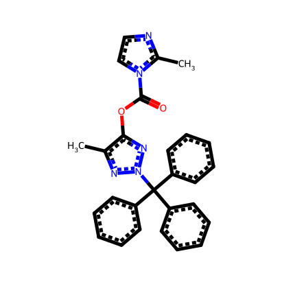 Cc1nn(C(c2ccccc2)(c2ccccc2)c2ccccc2)nc1OC(=O)n1ccnc1C